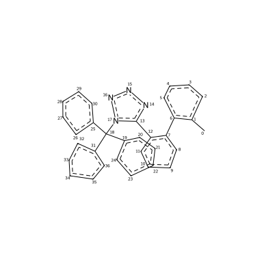 Cc1ccccc1-c1ccccc1-c1nnnn1C(c1ccccc1)(c1ccccc1)c1ccccc1